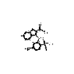 Cc1ccc(S(C)(=O)=O)c(Sn2c(C(N)=O)cc3ccccc32)c1